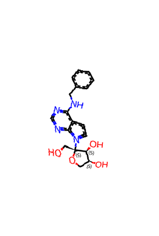 OC[C@]1(n2ccc3c(NCc4ccccc4)ncnc32)OC[C@H](O)[C@@H]1O